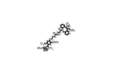 CCCCN/C1=C(\N)c2ccccc2N(C(=O)CCNC(=O)CCCOc2cc([N+](=O)[O-])c(C(C)OP(=O)(O)OC)cc2OC)Cc2ccccc21